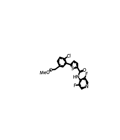 COOCc1ccc(Cl)c(-c2ccc(C(=O)Nc3c(F)cncc3F)s2)c1